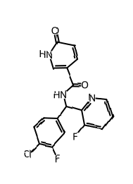 O=C(NC(c1ccc(Cl)c(F)c1)c1ncccc1F)c1ccc(=O)[nH]c1